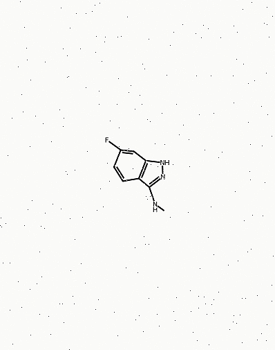 CNc1n[nH]c2cc(F)ccc12